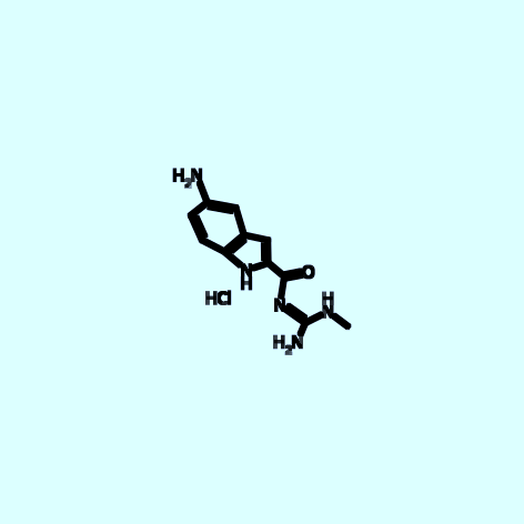 CNC(N)=NC(=O)c1cc2cc(N)ccc2[nH]1.Cl